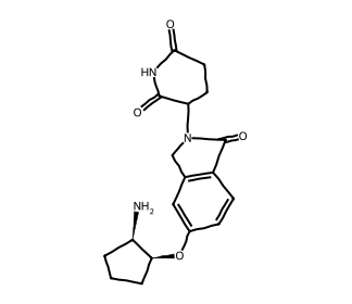 N[C@@H]1CCC[C@@H]1Oc1ccc2c(c1)CN(C1CCC(=O)NC1=O)C2=O